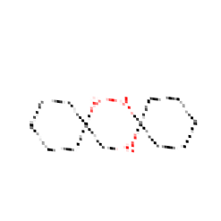 C1CCC2(CC1)COC1(CCCCC1)OO2